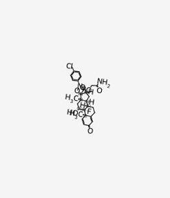 C[C@]12C=CC(=O)C=C1CC[C@H]1[C@@H]3C[C@H]4CN(c5ccc(Cl)cc5)O[C@@]4(C(=O)OCC(N)=O)[C@@]3(C)C[C@H](O)[C@@]12F